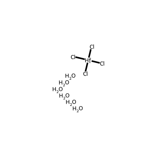 O.O.O.O.O.O.[Cl][Hf]([Cl])([Cl])[Cl]